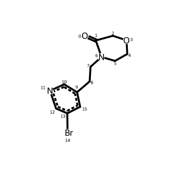 O=C1COCCN1CCc1cncc(Br)c1